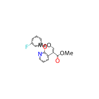 CO/C=C(/C(=O)OC)c1cccnc1Oc1cccc(F)c1